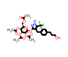 CC(=O)OC[C@H]1O[C@@H](Oc2n[nH]c(C(F)(F)F)c2Cc2ccc(CCCO)cc2)[C@H](OC(C)=O)[C@@H](OC(C)=O)[C@@H]1OC(C)=O